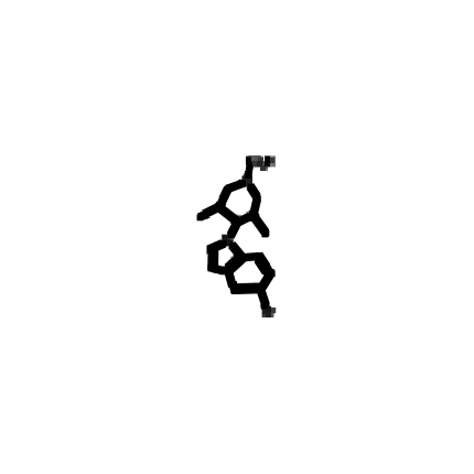 CC1CN(C(=O)O)CC(C)C1n1ccc2cc(Br)ccc21